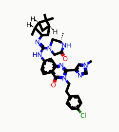 C[C@@H]1C(/N=C(/Nc2ccc3c(=O)n(CCc4ccc(Cl)cc4)c(-c4cn(C)cn4)nc3c2)N2CC(=O)N[C@@H](C)C2)C[C@H]2C[C@@H]1C2(C)C